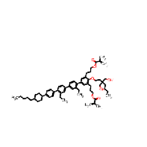 C=C(C)C(=O)OCCCc1cc(-c2ccc(-c3ccc(-c4ccc(C5CCC(CCCCC)CC5)cc4)c(CC)c3)cc2CC)cc(CCCOC(=O)C(=C)C)c1OCCC(CO)(CO)CCCC